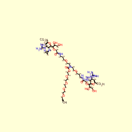 C#CCOCCOCCOCCOCCOC(=O)N(CCOCCCNC(=O)CO[C@@H]([C@@H]1OC(C(=O)O)=C[C@H](NC(=N)N)[C@H]1N=C1CC1)[C@H](O)CO)CCOCCCNC(=O)CO[C@@H]([C@@H]1OC(C(=O)O)=C[C@H](NC(=N)N)[C@H]1NN)[C@H](O)CO